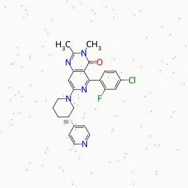 Cc1nc2cc(N3CCC[C@@H](c4ccncc4)C3)nc(-c3ccc(Cl)cc3F)c2c(=O)n1C